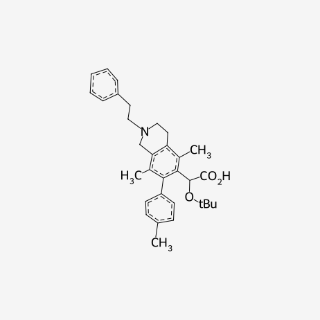 Cc1ccc(-c2c(C)c3c(c(C)c2C(OC(C)(C)C)C(=O)O)CCN(CCc2ccccc2)C3)cc1